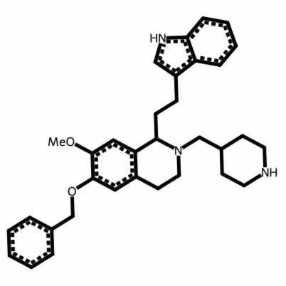 COc1cc2c(cc1OCc1ccccc1)CCN(CC1CCNCC1)C2CCc1c[nH]c2ccccc12